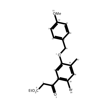 CCOC(=O)CC(=O)c1cc(OCc2ccc(OC)cc2)c(C)cc1Br